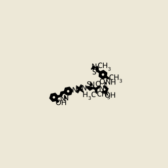 Cc1ncsc1-c1ccc(C(C)NC(=O)[C@@H]2C[C@@H](O)CN2C(=O)C(c2cc(N3CC4(CN(c5ccc6cc(-c7ccccc7O)nnc6c5)C4)C3)sn2)C(C)C)cc1